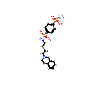 CS(=O)(=O)c1ccc(S(=O)(=O)NCCCCN2CCc3ccccc3C2)cc1